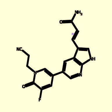 N#CCCn1cc(-c2cnc3[nH]cc(/C=C/C(N)=O)c3c2)cc(F)c1=O